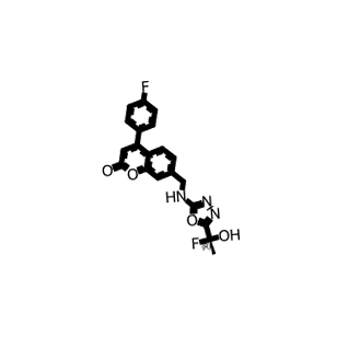 C[C@@](O)(F)c1nnc(NCc2ccc3c(-c4ccc(F)cc4)cc(=O)oc3c2)o1